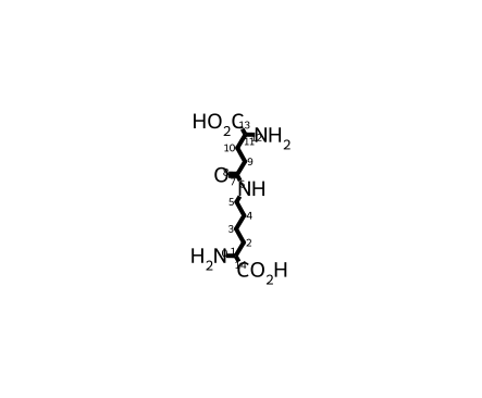 NC(CCCCNC(=O)CCC(N)C(=O)O)C(=O)O